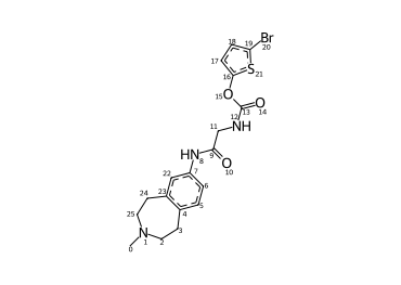 CN1CCc2ccc(NC(=O)CNC(=O)Oc3ccc(Br)s3)cc2CC1